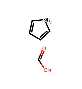 C1=C[SiH2]C=C1.O=CO